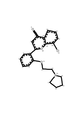 O=c1cc(-c2ccccc2OCCN2CCCC2)oc2c(Cl)cccc12